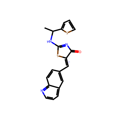 CC(NC1=NC(=O)/C(=C/c2ccc3ncccc3c2)S1)c1cccs1